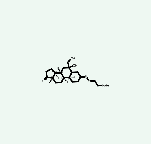 CNCCON=C1CC[C@@]2(C)C(C1)C(O)(CO)C[C@@H]1[C@H]2CC[C@]2(C)C(=O)CC[C@@H]12